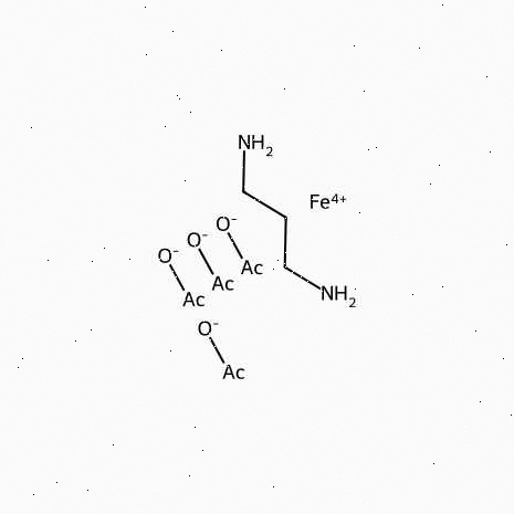 CC(=O)[O-].CC(=O)[O-].CC(=O)[O-].CC(=O)[O-].NCCCN.[Fe+4]